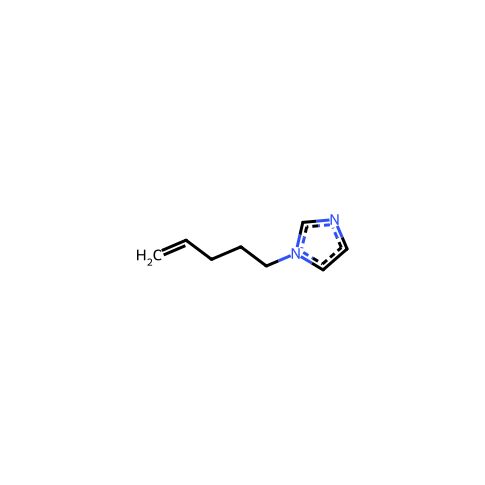 C=CCCCn1ccnc1